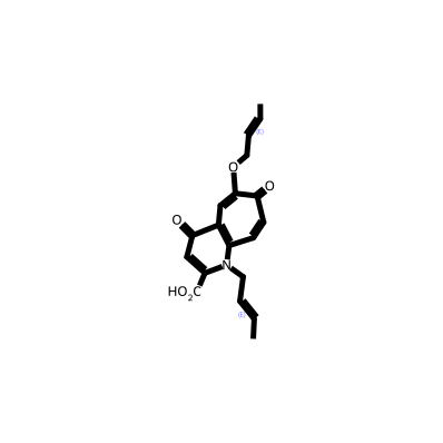 C/C=C/COc1cc2c(=O)cc(C(=O)O)n(C/C=C/C)c2ccc1=O